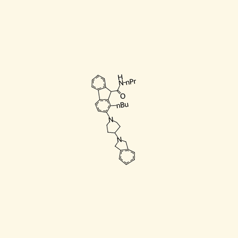 CCCCc1c(N2CCC(N3Cc4ccccc4C3)CC2)ccc2c1C(C(=O)NCCC)c1ccccc1-2